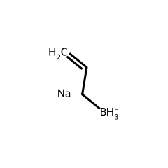 [BH3-]CC=C.[Na+]